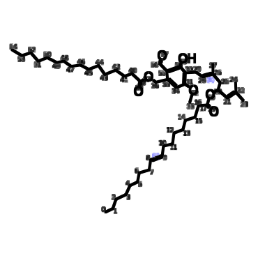 CCCCCCCC/C=C/CCCCCCCC(=O)OC(C=C(C)C)C/C(C)=C/Cc1c(OC)cc(COC(=O)CCCCCCCCCCCCCCC)c(C=O)c1O